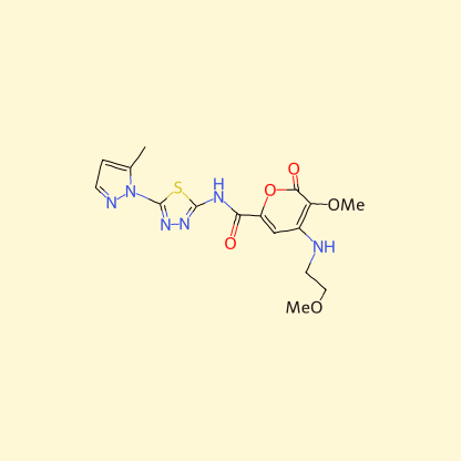 COCCNc1cc(C(=O)Nc2nnc(-n3nccc3C)s2)oc(=O)c1OC